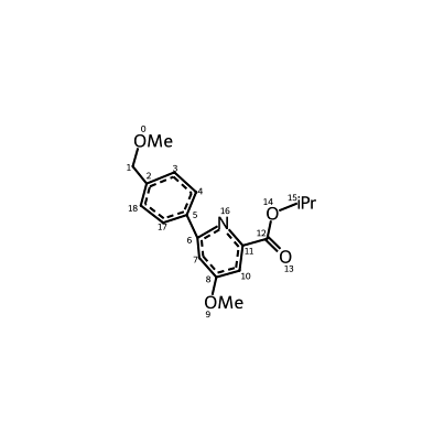 COCc1ccc(-c2cc(OC)cc(C(=O)OC(C)C)n2)cc1